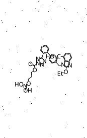 CCOc1nc2cccc(C(=O)O)c2n1Cc1ccc(-c2ccccc2-c2nnn(C(=O)OCCCON(O)O)n2)cc1